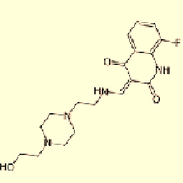 O=C1Nc2c(F)cccc2C(=O)C1=CNCCN1CCN(CCO)CC1